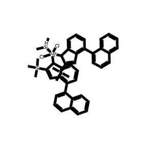 C[SiH](C)[Hf]([Cl])([Cl])([CH]1C([Si](C)(C)C)=Cc2c(-c3cccc4ccccc34)cccc21)[CH]1C([Si](C)(C)C)=Cc2c(-c3cccc4ccccc34)cccc21